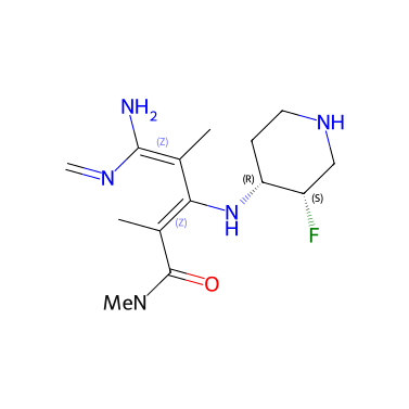 C=N/C(N)=C(C)\C(N[C@@H]1CCNC[C@@H]1F)=C(/C)C(=O)NC